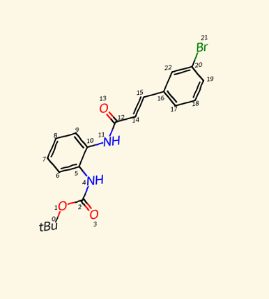 CC(C)(C)OC(=O)Nc1ccccc1NC(=O)C=Cc1cccc(Br)c1